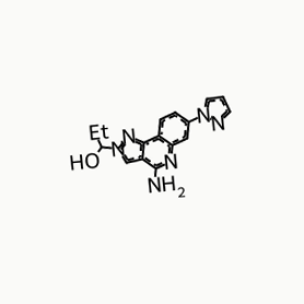 CCC(O)n1cc2c(N)nc3cc(-n4cccn4)ccc3c2n1